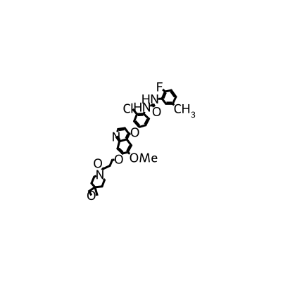 COc1cc2c(Oc3ccc(NC(=O)Nc4cc(C)ccc4F)c(Cl)c3)ccnc2cc1OCCC(=O)N1CCC2(CC1)COC2